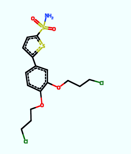 NS(=O)(=O)c1ccc(-c2ccc(OCCCCl)c(OCCCCl)c2)s1